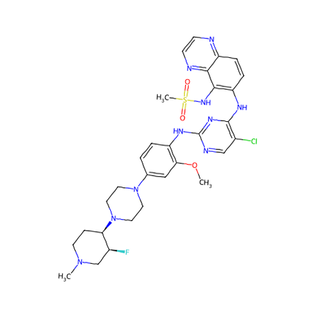 COc1cc(N2CCN([C@@H]3CCN(C)C[C@@H]3F)CC2)ccc1Nc1ncc(Cl)c(Nc2ccc3nccnc3c2NS(C)(=O)=O)n1